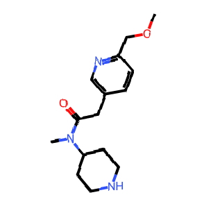 COCc1ccc(CC(=O)N(C)C2CCNCC2)cn1